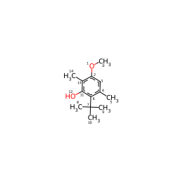 COc1cc(C)c(C(C)(C)C)c(O)c1C